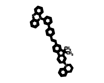 CC1(C)c2cc(/C=C/c3ccc(-c4cccc(N5c6ccccc6Sc6ccccc65)c4)cc3)ccc2C2C=CC(N3CCCc4ccccc43)=CC21